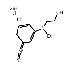 CCN(CCO)C1=CC(=[N+]=[N-])CC=C1.[Cl-].[Cl-].[Zn+2]